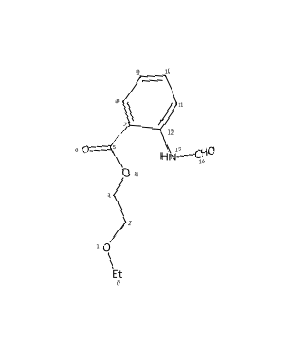 CCOCCOC(=O)c1ccccc1NC=O